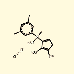 CCCCC1=[C]([Ti+3])CC=C1[Si](C)(CCCC)c1cc(C)cc(C)c1.[Cl-].[Cl-].[Cl-]